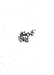 COc1cncc(-c2ccc(CN[C@@H]3C[C@H](N(C)c4ncnc5sc(CC(F)(F)F)cc45)C[C@@H]3O)cc2)c1.Cl